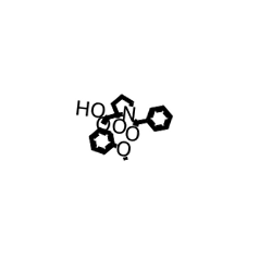 COc1ccccc1OC1(C(=O)O)CCCN1C(=O)c1ccccc1